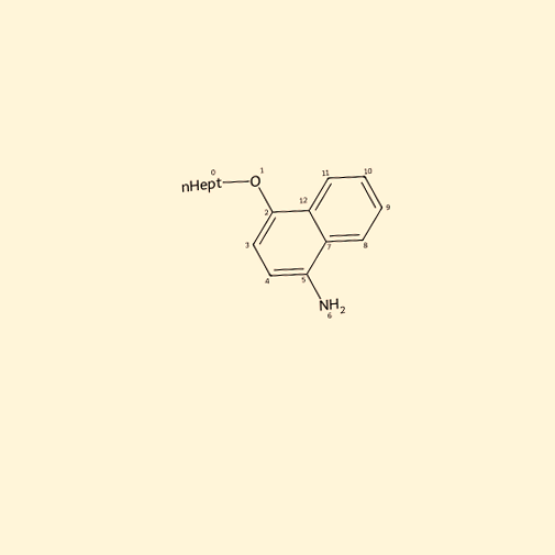 CCCCCCCOc1ccc(N)c2ccccc12